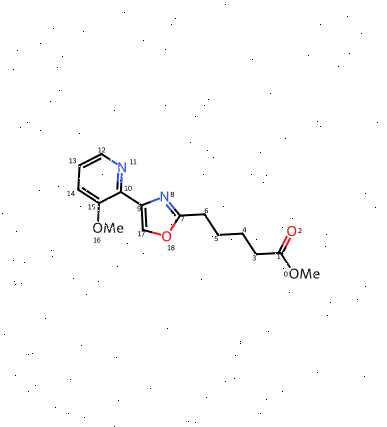 COC(=O)CCCCc1nc(-c2ncccc2OC)co1